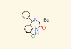 CC[C@H](C)C1N=C(c2ccccc2)c2cccc(Cl)c2NC1=O